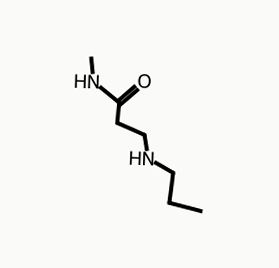 CCCNCCC(=O)NC